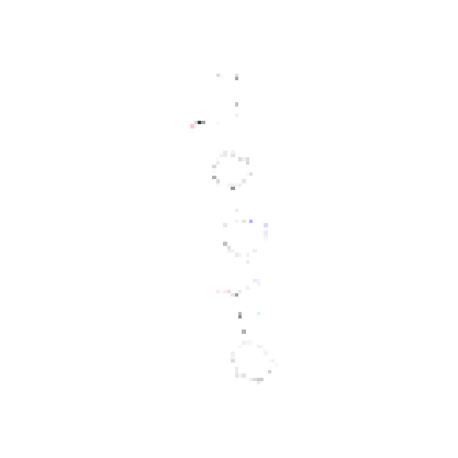 CC(=O)N(CC1CC1)c1ccc(-c2ccc(NC(=O)C(F)(F)c3ccccc3)cn2)cc1Cl